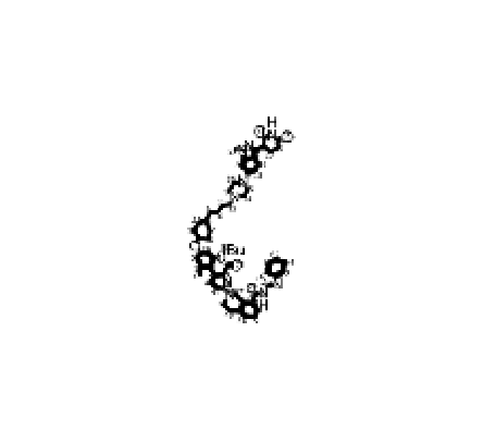 Cc1cc(OC2CCC(CCCCN3CCN(c4ccc5c(C6CCC(=O)NC6=O)nn(C)c5c4)CC3)CC2)ccc1-c1ccc(N2CCc3cccc(C(=O)Nc4nc5ccccc5s4)c3C2)nc1C(=O)OC(C)(C)C